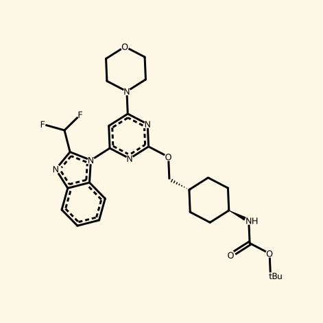 CC(C)(C)OC(=O)N[C@H]1CC[C@H](COc2nc(N3CCOCC3)cc(-n3c(C(F)F)nc4ccccc43)n2)CC1